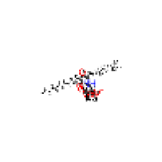 CCCCCCCCCCCCC(C(=O)CCCCCCCCCCC)C(=O)N[C@@H](CC(=O)[O-])C(=O)O.[Na+]